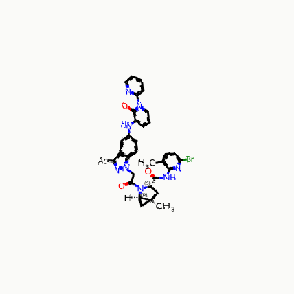 CC(=O)c1nn(CC(=O)N2[C@H](C(=O)Nc3nc(Br)ccc3C)C[C@@]3(C)C[C@@H]23)c2ccc(Nc3cccn(-c4ccccn4)c3=O)cc12